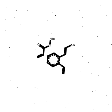 C=CC(=O)OCCCC.C=Cc1ccccc1C=CC#N